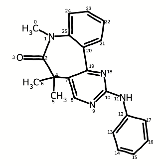 CN1C(=O)C(C)(C)c2cnc(Nc3ccccc3)nc2-c2ccccc21